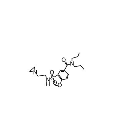 CCCN(CCC)C(=O)c1ccc(OC)c(S(=O)(=O)NCCN2CC2)c1